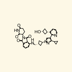 O=C1CCC(N2C(=O)c3cccc(NC[C@H]4C[C@H](n5cc(-c6ncccc6[C@H]6C[C@@H](O)C6)c(C6CC6)n5)C4)c3C2=O)C(=O)N1